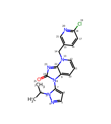 CC(C)n1nccc1-n1c2cccn(Cc3ccc(Cl)nc3)c-2nc1=O